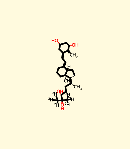 [2H]C([2H])([2H])C(O)([C@H](O)CC[C@@H](C)[C@H]1CC[C@H]2/C(=C/C=C3/C[C@@H](O)C[C@H](O)C3=C)CCC[C@]12C)C([2H])([2H])[2H]